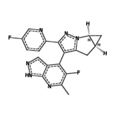 Cc1nc2[nH]ncc2c(-c2c(-c3ccc(F)cn3)nn3c2C[C@@H]2C[C@@H]23)c1F